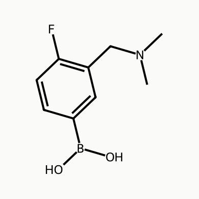 CN(C)Cc1cc(B(O)O)ccc1F